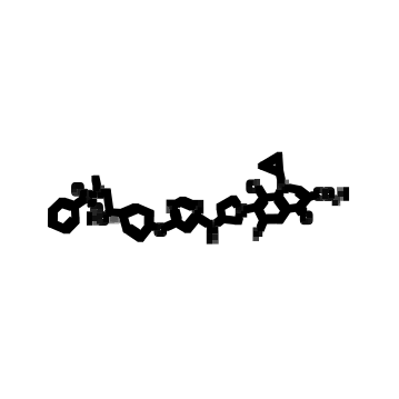 CN(C[C@H](O)c1ccc(Oc2cc(NC3CCN(c4c(F)cc5c(=O)c(C(=O)O)cn(C6CC6)c5c4Cl)C3)ncn2)cc1)S(=O)(=O)c1ccccc1